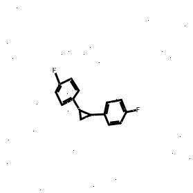 Fc1ccc([C]2CC2c2ccc(F)cc2)cc1